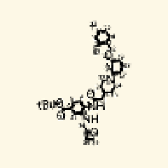 CC(C)(C)OC(=O)c1ccc(NC(=O)CC2CCN(c3cccc(OCc4ccc(F)cc4F)n3)CC2)c(NC[C@@H]2CCO2)c1